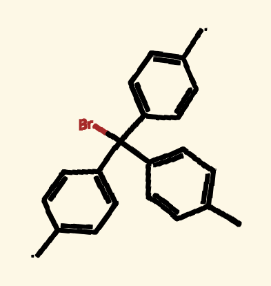 [CH2]c1ccc(C(Br)(c2ccc([CH2])cc2)c2ccc(C)cc2)cc1